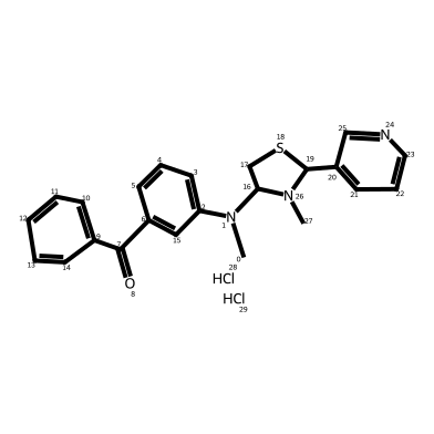 CN(c1cccc(C(=O)c2ccccc2)c1)C1CSC(c2cccnc2)N1C.Cl.Cl